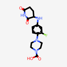 O=C1CCC(Nc2ccc(N3CCN(C(=O)O)CC3)c(F)c2)C(=O)N1